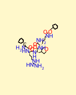 N=C(N)NCCC[C@@H](NC(=O)[C@@H](N)Cc1ccccc1)C(=O)N[C@@H](CC1CCOCC1)C(=O)N[C@@H](CCCCNC(=O)OCc1ccccc1)C(N)=O